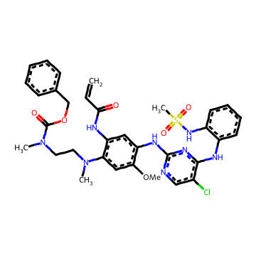 C=CC(=O)Nc1cc(Nc2ncc(Cl)c(Nc3ccccc3NS(C)(=O)=O)n2)c(OC)cc1N(C)CCN(C)C(=O)OCc1ccccc1